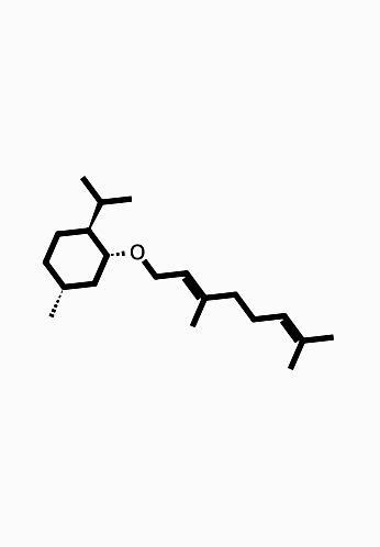 CC(C)=CCC/C(C)=C/CO[C@@H]1C[C@H](C)CC[C@H]1C(C)C